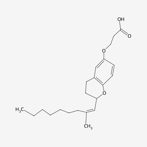 CCCCCCCC(C)=CC1CCc2cc(OCCC(=O)O)ccc2O1